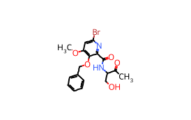 COc1cc(Br)nc(C(=O)NC(CO)C(C)=O)c1OCc1ccccc1